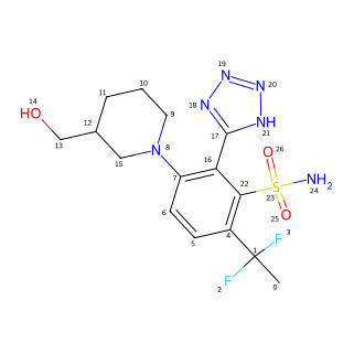 CC(F)(F)c1ccc(N2CCCC(CO)C2)c(-c2nnn[nH]2)c1S(N)(=O)=O